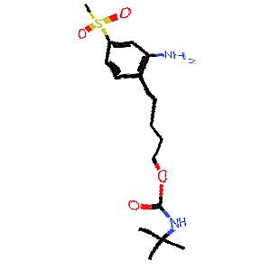 CC(C)(C)NC(=O)OCCCCc1ccc(S(C)(=O)=O)cc1N